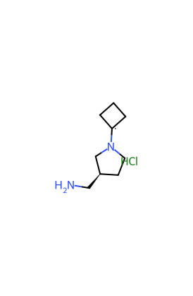 Cl.NC[C@@H]1CCN([C]2CCC2)C1